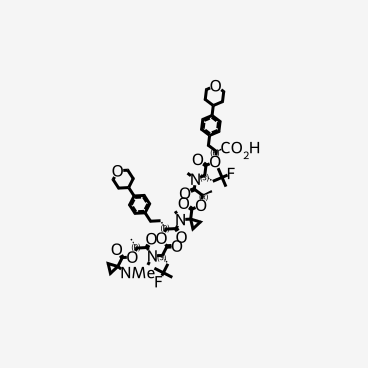 CNC1(C(=O)O[C@H](C)C(=O)N(C)[C@@H](CC(C)(C)F)C(=O)O[C@H](CCc2ccc(C3CCOCC3)cc2)C(=O)N(C)C2(C(=O)O[C@H](C)C(=O)N(C)[C@@H](CC(C)(C)F)C(=O)O[C@H](Cc3ccc(C4CCOCC4)cc3)C(=O)O)CC2)CC1